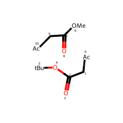 CC(=O)CC(=O)OC(C)(C)C.COC(=O)CC(C)=O